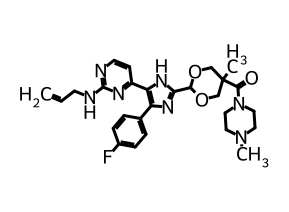 C=CCNc1nccc(-c2[nH]c(C3OCC(C)(C(=O)N4CCN(C)CC4)CO3)nc2-c2ccc(F)cc2)n1